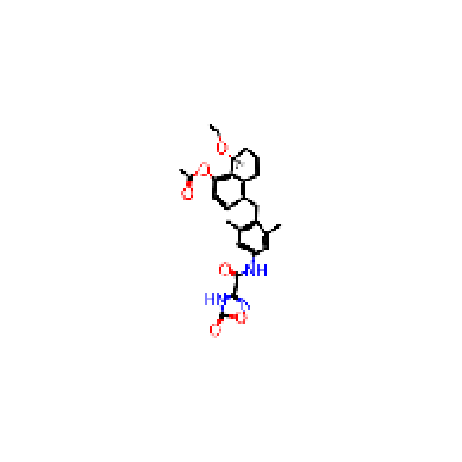 CCO[C@@H]1CCCc2c(Cc3c(C)cc(NC(=O)c4noc(=O)[nH]4)cc3C)ccc(OC(C)=O)c21